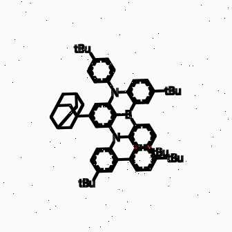 CC(C)(C)c1ccc(-c2cc(C(C)(C)C)ccc2N2c3cc(C(C)(C)C)ccc3B3c4cc(C(C)(C)C)ccc4N(c4ccc(C(C)(C)C)cc4)c4cc(C56CC7CC(CC(C7)C5)C6)cc2c43)cc1